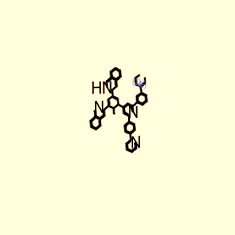 C/C=C\C(=C/C)c1cccc(-c2cc(C3C=C(C4C=c5ccccc5=CN4)C=C(c4cc5ccccc5cn4)C3C)cc(-c3ccc(-c4ccccn4)cc3)n2)c1